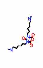 C=NCCCCCCn1c(=O)oc(=O)n(CCCCCCN=C)c1=O